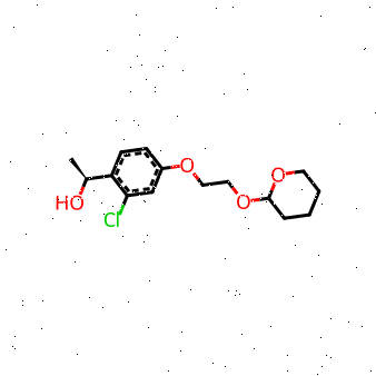 C[C@H](O)c1ccc(OCCOC2CCCCO2)cc1Cl